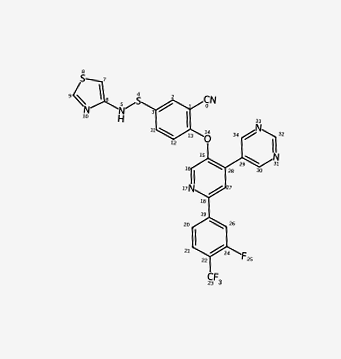 N#Cc1cc(SNc2cscn2)ccc1Oc1cnc(-c2ccc(C(F)(F)F)c(F)c2)cc1-c1cncnc1